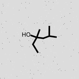 [CH2]CC(C)(O)CC(C)C